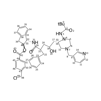 CC(C)(C)C(=O)NN1CCN(Cc2cccnc2)C[C@@H]1CC(O)CC(Cc1ccccc1)C(=O)N[C@H]1c2ccccc2C[C@@H]1OC(=O)c1ccc(CCl)cc1